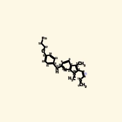 C=N/C=C\c1c(C)c2ccc(Nc3ccc(OCCF)cc3)nc2n1C